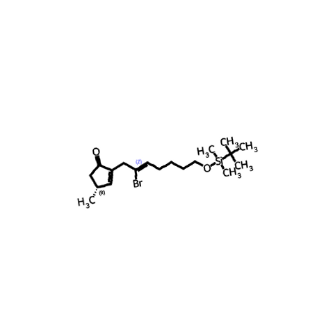 C[C@H]1C=C(C/C(Br)=C/CCCCO[Si](C)(C)C(C)(C)C)C(=O)C1